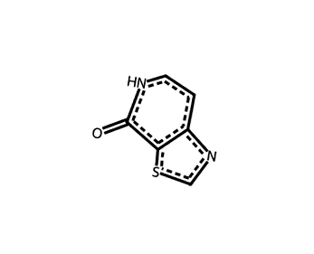 O=c1[nH]ccc2ncsc12